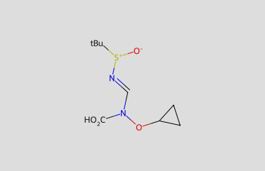 CC(C)(C)[S+]([O-])/N=C/N(OC1CC1)C(=O)O